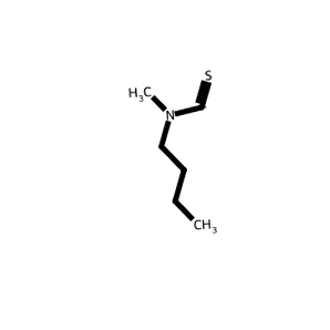 CCCCN(C)[C]=S